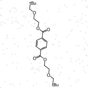 CC(C)(C)COCCOC(=O)c1ccc(C(=O)OCCOCC(C)(C)C)cc1